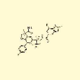 Cc1nc2c(F)cc(C(=O)NC[C@](O)(c3cc4c(c(-c5ccc(F)cc5)n3)OC[C@]4(C)C(N)=O)C(F)(F)F)cc2s1